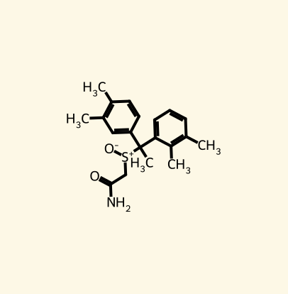 Cc1ccc(C(C)(c2cccc(C)c2C)[S+]([O-])CC(N)=O)cc1C